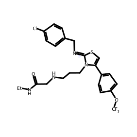 CCNC(=O)CNCCCn1c(-c2ccc(OC(F)(F)F)cc2)cs/c1=N\Cc1ccc(Cl)cc1